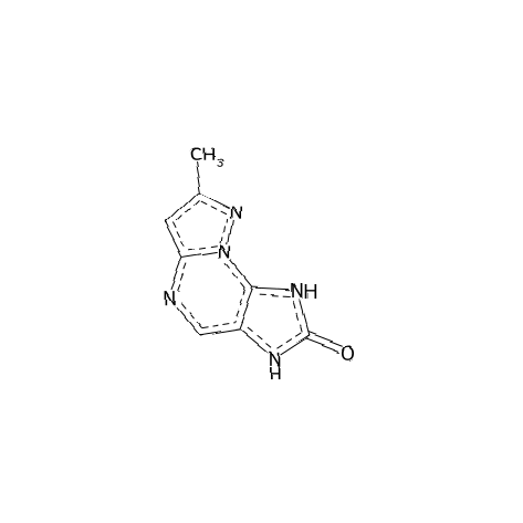 Cc1cc2ncc3[nH]c(=O)[nH]c3n2n1